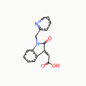 O=C(O)/C=C1/C(=O)N(Cc2ccccn2)c2ccccc21